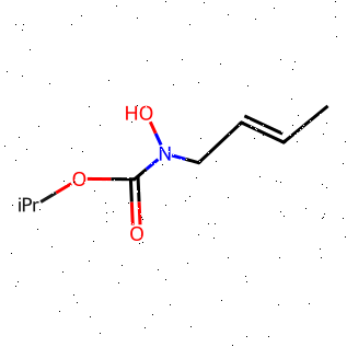 CC=CCN(O)C(=O)OC(C)C